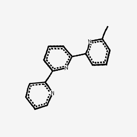 Cc1cccc(-c2cccc(-c3ccccn3)n2)n1